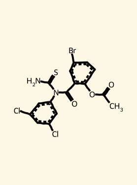 CC(=O)Oc1ccc(Br)cc1C(=O)N(C(N)=S)c1cc(Cl)cc(Cl)c1